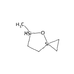 C[SiH]1CC[Si]2(CC2)O1